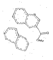 COC(=O)c1cnc2ccccc2c1.c1ccc2cnccc2c1